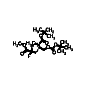 COC(=O)C(F)(F)C[C@@H](COC(=O)OC(C)(C)C)N(C)C(=O)OC(C)(C)C